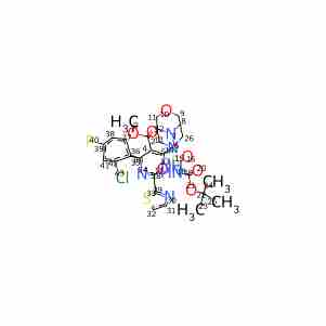 COC(=O)C1=C(CN2C3COCC2CN(S(=O)(=O)NC(=O)OC(C)(C)C)C3)NC(c2nccs2)=N[C@H]1c1ccc(F)cc1Cl